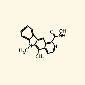 Cc1c2ccnc(C(=O)NO)c2cc2c3ccccc3n(C)c12